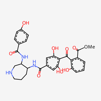 COC(=O)c1cccc(O)c1C(=O)c1c(O)cc(C(=O)NC2CCCNCC2NC(=O)c2ccc(O)cc2)cc1O